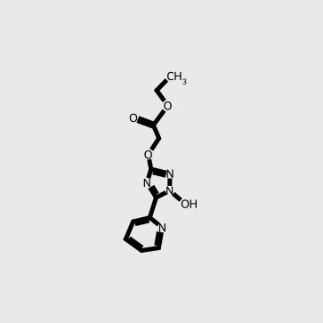 CCOC(=O)COc1nc(-c2ccccn2)n(O)n1